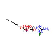 CCCCCCCCCCOC(=O)[C@H](C)O[PH](=O)OC[C@@]1(C)O[C@@H](n2cnc3c(N)nc(F)nc32)C[C@@H]1O